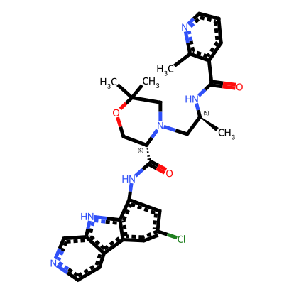 Cc1ncccc1C(=O)N[C@@H](C)CN1CC(C)(C)OC[C@H]1C(=O)Nc1cc(Cl)cc2c1[nH]c1cnccc12